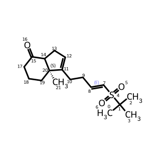 CC(C)(C)S(=O)(=O)/C=C/CCC1=CCC2C(=O)CCC[C@]12C